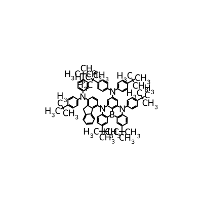 CC(C)(C)c1ccc(N(c2ccc(C(C)(C)C)cc2)c2cc3c4c(c2)N(c2ccc(N(c5ccc(C(C)(C)C)cc5)c5ccc(C(C)(C)C)cc5)c5c2-c2ccccc2C5)c2ccc(C(C)(C)C)cc2B4c2cc(C(C)(C)C)ccc2N3c2ccc(C(C)(C)C)cc2)cc1